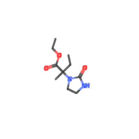 CCOC(=O)C(C)(CC)N1CCNC1=O